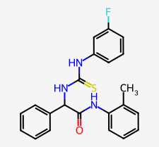 Cc1ccccc1NC(=O)C(NC(=S)Nc1cccc(F)c1)c1ccccc1